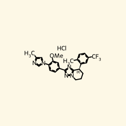 COc1cc(-c2nc3n(n2)CCC[C@@H]3c2cc(C(F)(F)F)ccc2C)ccc1-n1cnc(C)c1.Cl